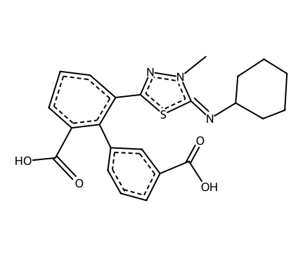 Cn1nc(-c2cccc(C(=O)O)c2-c2cccc(C(=O)O)c2)sc1=NC1CCCCC1